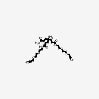 C#CCOCCOCCNC(=O)CCC(N)(CCC(N)=O)CCC(=O)NCCOCCOCC#C